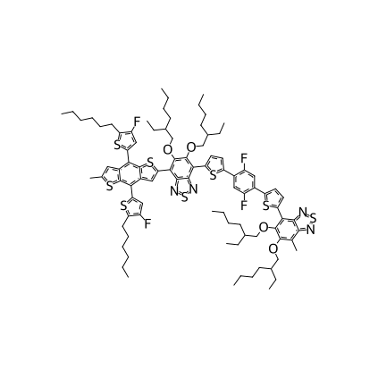 CCCCCCc1sc(-c2c3cc(-c4c(OCC(CC)CCCC)c(OCC(CC)CCCC)c(-c5ccc(-c6cc(F)c(-c7ccc(-c8c(OCC(CC)CCCC)c(OCC(CC)CCCC)c(C)c9nsnc89)s7)cc6F)s5)c5nsnc45)sc3c(-c3cc(F)c(CCCCCC)s3)c3cc(C)sc23)cc1F